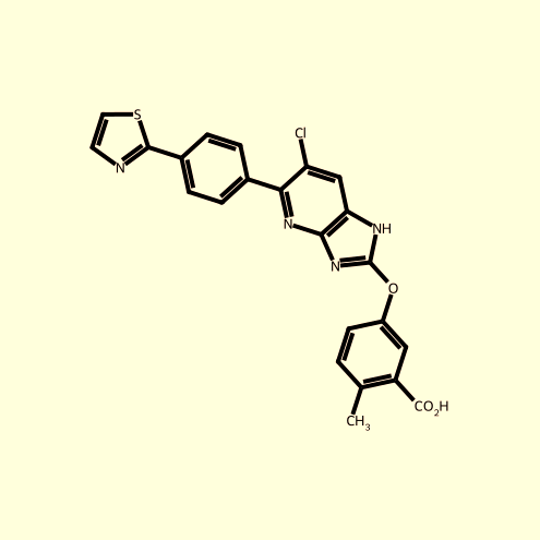 Cc1ccc(Oc2nc3nc(-c4ccc(-c5nccs5)cc4)c(Cl)cc3[nH]2)cc1C(=O)O